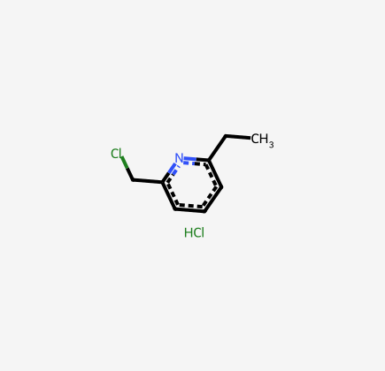 CCc1cccc(CCl)n1.Cl